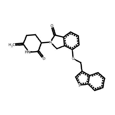 C=C1CCC(N2Cc3c(OCc4csc5ccccc45)cccc3C2=O)C(=O)N1